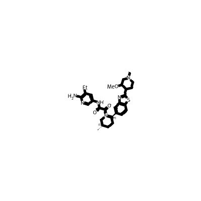 CCc1cc(NC(=O)C(=O)N2C[C@@H](C)CC[C@@H]2c2ccc3sc(C4CCN(C)CC4OC)nc3c2)cnc1N